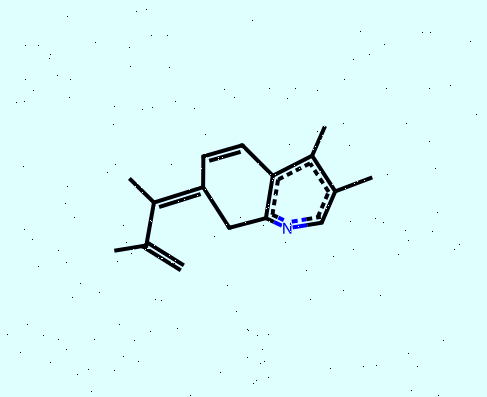 C=C(C)/C(C)=C1/C=Cc2c(ncc(C)c2C)C1